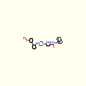 CCOc1cccc(-c2ccccc2CN2CCN(c3ccc(C(=O)NCC45CC6CC(CC(C6)C4)C5)nn3)CC2)c1